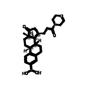 C[C@]12CC[C@@H]3c4ccc(B(O)O)cc4CC[C@H]3[C@@H]1[C@H](CCC(=O)N1CCOCC1)CC2=O